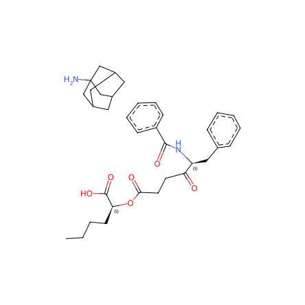 CCCC[C@H](OC(=O)CCC(=O)[C@H](Cc1ccccc1)NC(=O)c1ccccc1)C(=O)O.NC12CC3CC(CC(C3)C1)C2